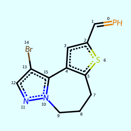 P=Cc1cc2c(s1)CCCn1ncc(Br)c1-2